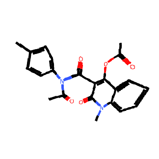 CC(=O)Oc1c(C(=O)N(C(C)=O)c2ccc(C)cc2)c(=O)n(C)c2ccccc12